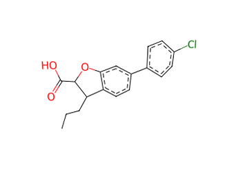 CCCC1c2ccc(-c3ccc(Cl)cc3)cc2OC1C(=O)O